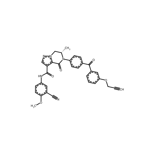 C#CCOc1cccc(C(=O)c2ccc(N3C(=O)c4c(C(=O)Nc5ccc(OC)c(C#N)c5)cnn4C[C@@H]3C)cc2)c1